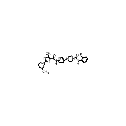 CC1CCCN(c2nc(C(F)(F)F)c(C(=O)Nc3ccc(N4CCN(C(=O)Nc5ccccc5F)CC4)cn3)o2)C1